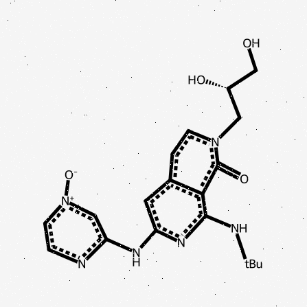 CC(C)(C)Nc1nc(Nc2c[n+]([O-])ccn2)cc2ccn(C[C@H](O)CO)c(=O)c12